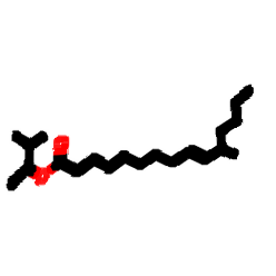 CCCCC(C)/C=C/CCCCCCCC(=O)OC(C)C(C)C